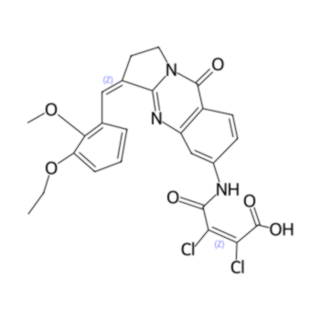 CCOc1cccc(/C=C2/CCn3c2nc2cc(NC(=O)/C(Cl)=C(/Cl)C(=O)O)ccc2c3=O)c1OC